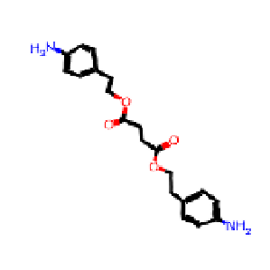 Nc1ccc(CCOC(=O)CCC(=O)OCCc2ccc(N)cc2)cc1